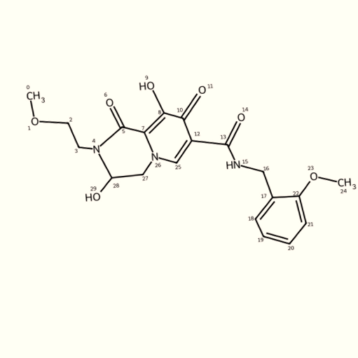 COCCN1C(=O)c2c(O)c(=O)c(C(=O)NCc3ccccc3OC)cn2CC1O